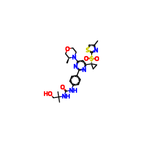 Cc1csc(S(=O)(=O)C2(c3cc(N4CCOC[C@@H]4C)nc(-c4ccc(NC(=O)NC(C)(C)CO)cc4)n3)CC2)n1